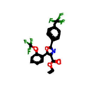 CCOC(=O)c1nc(-c2ccc(C(F)(F)F)cc2)oc1-c1ccccc1OC(F)(F)F